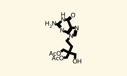 CC(=O)OCC(CO)(CCn1cnc2c(=O)[nH]c(N)nc21)COC(C)=O